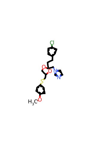 COc1ccc(SCC2COC(CCc3ccc(Cl)cc3)(Cn3ccnc3)O2)cc1